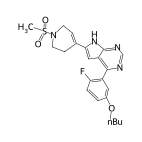 CCCCOc1ccc(F)c(-c2ncnc3[nH]c(C4=CCN(S(C)(=O)=O)CC4)cc23)c1